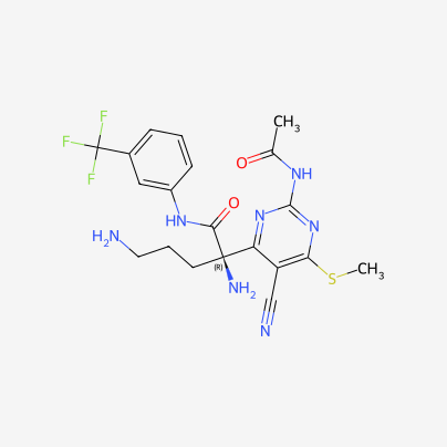 CSc1nc(NC(C)=O)nc([C@](N)(CCCN)C(=O)Nc2cccc(C(F)(F)F)c2)c1C#N